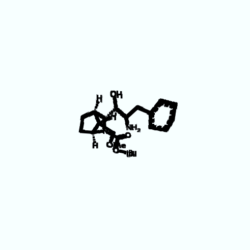 COC[C@H]1[C@H]2CC[C@@H]1N(C(=O)OC(C)(C)C)[C@H]2C(O)C(N)Cc1ccccc1